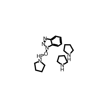 C1CCNC1.C1CCNC1.c1ccc2c(c1)nnn2OPN1CCCC1